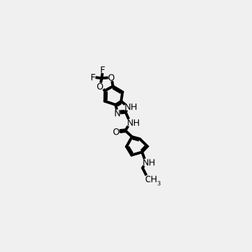 CCNc1ccc(C(=O)Nc2nc3cc4c(cc3[nH]2)OC(F)(F)O4)cc1